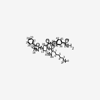 CN(C)CCCCC[C@H](C(=O)N1CCN(C2=NC(C)(C)C(c3ccccc3)O2)C[C@H]1C(=O)NCc1ccc(C(N)=O)cc1)N(C)C